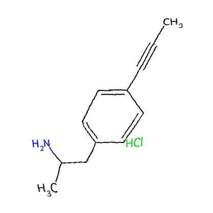 CC#Cc1ccc(CC(C)N)cc1.Cl